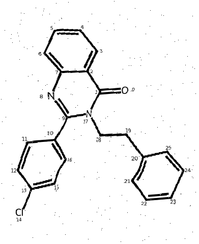 O=c1c2ccccc2nc(-c2ccc(Cl)cc2)n1CCc1ccccc1